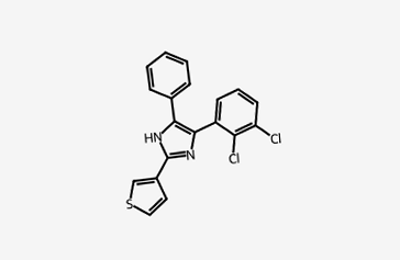 Clc1cccc(-c2nc(-c3ccsc3)[nH]c2-c2ccccc2)c1Cl